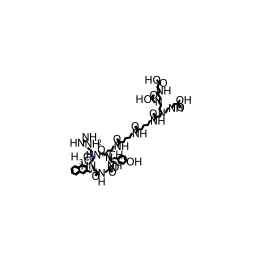 C/C(CCNC(=N)N)=C1/NC(=O)[C@@H](CCCNC(=O)CCCCNC(=O)CCCCNC(=O)CN(CCNCC(=O)O)CCN(CCNCC(=O)O)CC(=O)O)N(C)[C@](C=O)(Cc2ccc(O)cc2)NC(=O)CNC(=O)[C@H](Cc2ccc3ccccc3c2)NC1=O